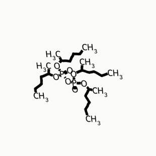 CCCCC(C)OP(=O)(OC(C)CCCC)OP(=O)(OC(C)CCCC)OC(C)CCCC